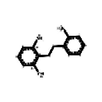 Nc1ccccc1CCc1c(N)cccc1O